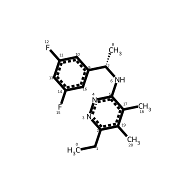 CCc1nnc(N[C@@H](C)c2cc(F)cc(F)c2)c(C)c1C